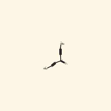 CCCCC#CC(=O)C#CCCCC